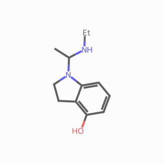 CCNC(C)N1CCc2c(O)cccc21